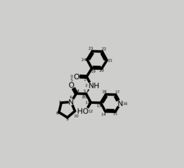 O=C(N[C@@H](C(=O)N1CCCC1)C(O)c1ccncc1)c1ccccc1